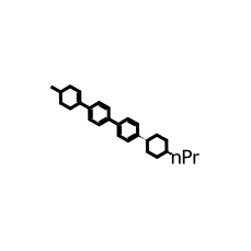 CCC[C@H]1CC[C@H](c2ccc(-c3ccc(C4=CCC(C)CC4)cc3)cc2)CC1